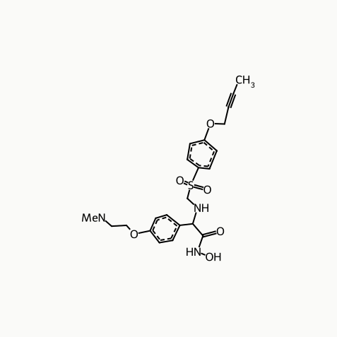 CC#CCOc1ccc(S(=O)(=O)CNC(C(=O)NO)c2ccc(OCCNC)cc2)cc1